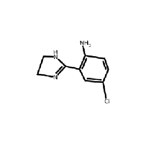 Nc1ccc(Cl)cc1C1=NCCN1